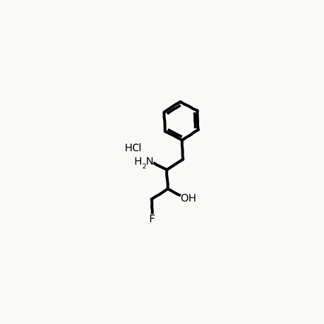 Cl.NC(Cc1ccccc1)C(O)CF